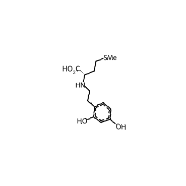 CSCC[C@H](NCCc1ccc(O)cc1O)C(=O)O